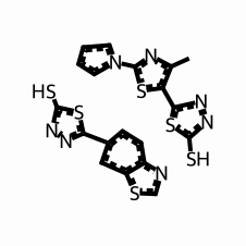 Cc1nc(-n2cccc2)sc1-c1nnc(S)s1.Sc1nnc(-c2ccc3ncsc3c2)s1